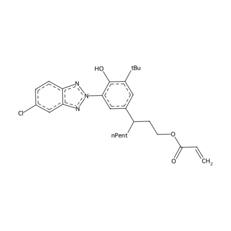 C=CC(=O)OCCC(CCCCC)c1cc(-n2nc3ccc(Cl)cc3n2)c(O)c(C(C)(C)C)c1